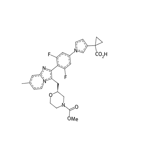 COC(=O)N1CCO[C@@H](Cc2c(-c3c(F)cc(-n4ccc(C5(C(=O)O)CC5)c4)cc3F)nc3cc(C)ccn23)C1